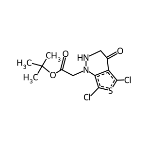 CC(C)(C)OC(=O)CN1NCC(=O)c2c(Cl)sc(Cl)c21